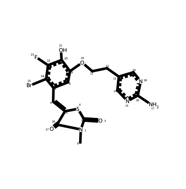 CN1C(=O)S/C(=C\c2cc(OCCc3cnc(N)nc3)c(O)c(F)c2Br)C1=O